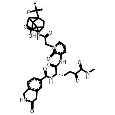 CNC(=O)C(=O)CC[C@H](NC(=O)c1ccc2c(c1)CC(=O)NC2)C(=O)Nc1cccn(CC(=O)NC2(C(=O)O)C3CC4CC2C(C(F)(F)F)(C4)C3)c1=O